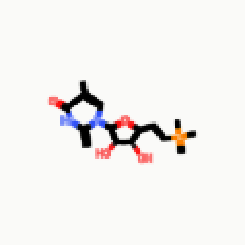 C=C1NC(=O)C(C)=CN1C1OC(CCP(=C)(C)C)[C@@H](O)[C@H]1O